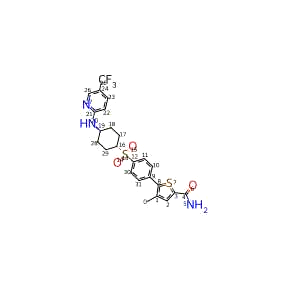 Cc1cc(C(N)=O)sc1-c1ccc(S(=O)(=O)[C@H]2CC[C@H](Nc3ccc(C(F)(F)F)cn3)CC2)cc1